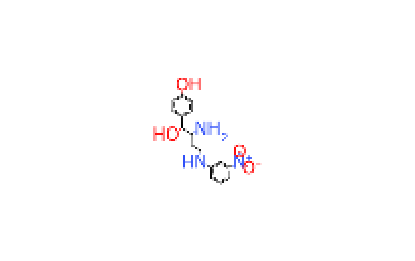 NC(CCNc1cccc([N+](=O)[O-])c1)C(O)c1ccc(O)cc1